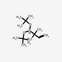 C=CC(C)(C)[SiH](OC(C)(C)C)OC(C)(C)C